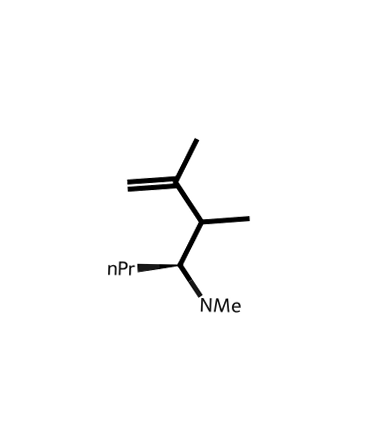 C=C(C)C(C)[C@H](CCC)NC